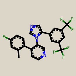 Cc1cc(F)ccc1-c1ccncc1-n1cncc1-c1cc(C(F)(F)F)cc(C(F)(F)F)c1